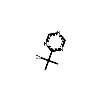 CCC(C)(C)c1ncncn1